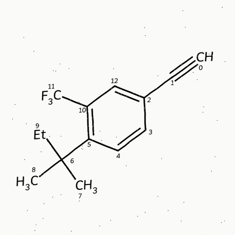 C#Cc1ccc(C(C)(C)CC)c(C(F)(F)F)c1